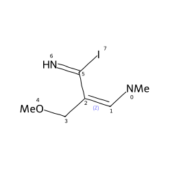 CN/C=C(/COC)C(=N)I